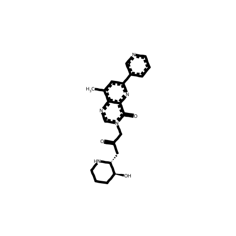 Cc1cc(-c2cccnc2)nc2c(=O)n(CC(=O)C[C@H]3NCCC[C@@H]3O)cnc12